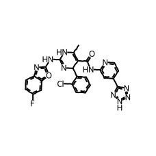 CC1=C(C(=O)Nc2cc(-c3nn[nH]n3)ccn2)C(c2ccccc2Cl)N=C(Nc2nc3ccc(F)cc3o2)N1